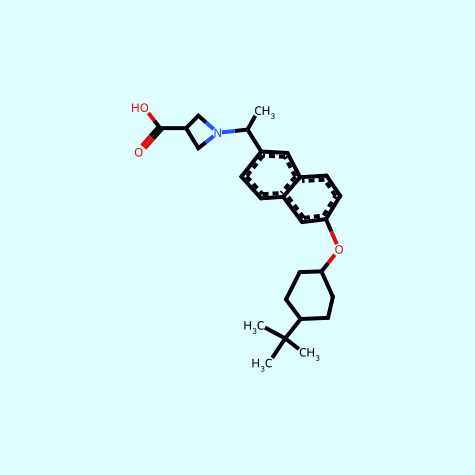 CC(c1ccc2cc(OC3CCC(C(C)(C)C)CC3)ccc2c1)N1CC(C(=O)O)C1